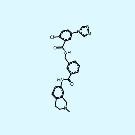 CN1CCc2ccc(NC(=O)c3cccc(CNC(=O)c4cc(-n5cnnc5)ccc4Cl)c3)cc2C1